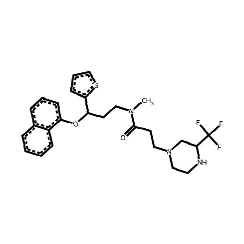 CN(CCC(Oc1cccc2ccccc12)c1cccs1)C(=O)CCN1CCNC(C(F)(F)F)C1